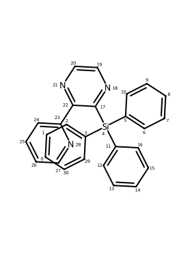 c1ccc([Si](c2ccccc2)(c2ccccc2)c2nccnc2-c2ccccn2)cc1